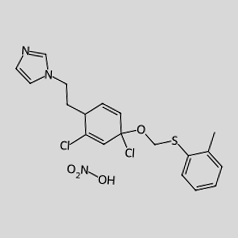 Cc1ccccc1SCOC1(Cl)C=CC(CCn2ccnc2)C(Cl)=C1.O=[N+]([O-])O